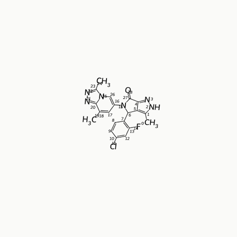 Cc1[nH]nc2c1C(c1ccc(Cl)cc1F)N(c1cc(C)c3nnc(C)n3c1)C2=O